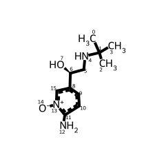 CC(C)(C)NC[C@H](O)c1ccc(N)[n+]([O-])c1